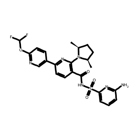 C[C@@H]1CC[C@H](C)N1c1nc(-c2ccc(OC(F)F)nc2)ccc1C(=O)NS(=O)(=O)c1cccc(N)n1